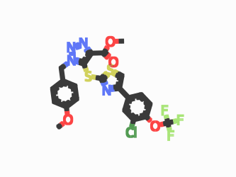 COC(=O)c1nnn(Cc2ccc(OC)cc2)c1Sc1nc(-c2ccc(OC(F)(F)F)c(Cl)c2)cs1